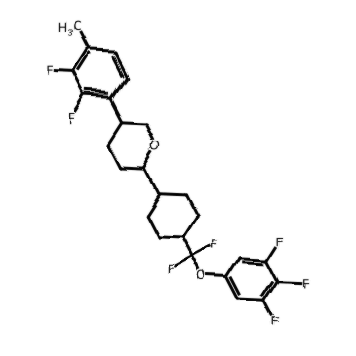 Cc1ccc(C2CCC(C3CCC(C(F)(F)Oc4cc(F)c(F)c(F)c4)CC3)OC2)c(F)c1F